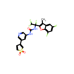 Cc1c(C(F)(NC(=O)Nc2cncc(C3=CS(=O)(=O)C=C3)c2)C(F)F)oc2c(F)cc(F)cc12